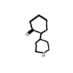 O=C1CCCCC1C1CCNCC1